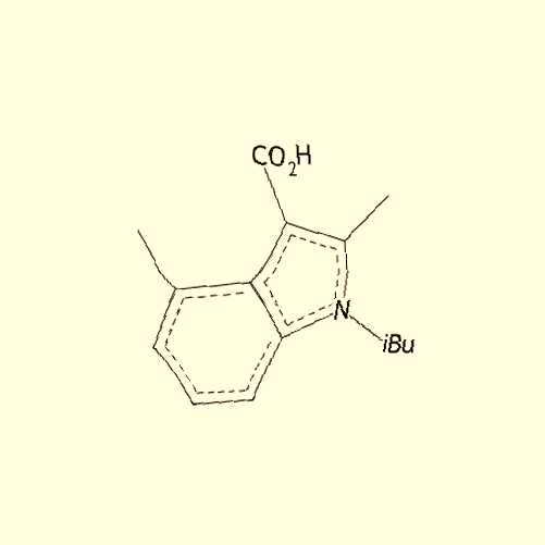 CCC(C)n1c(C)c(C(=O)O)c2c(C)cccc21